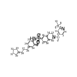 CC(c1ccnc(C(C)(C)C)c1)N1CCc2cc(S(=O)(=O)Nc3ccc(CCCC4CCCC4)cc3F)ccc2C1